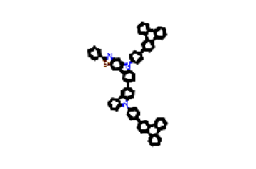 c1ccc(-c2nc3cc4c(cc3s2)c2cc(-c3ccc5c(c3)c3ccccc3n5-c3ccc(-c5ccc6c7ccccc7c7ccccc7c6c5)cc3)ccc2n4-c2ccc(-c3ccc4c5ccccc5c5ccccc5c4c3)cc2)cc1